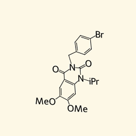 COc1cc2c(=O)n(Cc3ccc(Br)cc3)c(=O)n(C(C)C)c2cc1OC